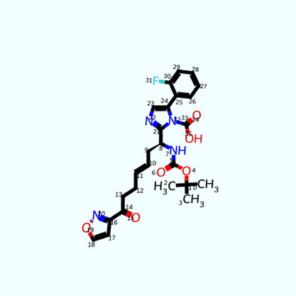 CC(C)(C)OC(=O)N[C@@H](C/C=C/CCC(=O)c1ccon1)c1ncc(-c2ccccc2F)n1C(=O)O